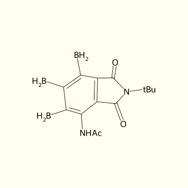 Bc1c(B)c(NC(C)=O)c2c(c1B)C(=O)N(C(C)(C)C)C2=O